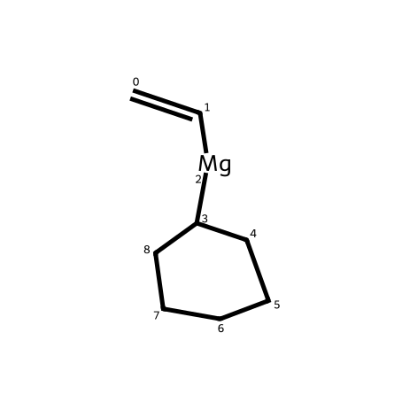 C=[CH][Mg][CH]1CCCCC1